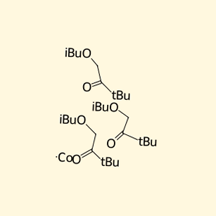 CC(C)COCC(=O)C(C)(C)C.CC(C)COCC(=O)C(C)(C)C.CC(C)COCC(=O)C(C)(C)C.[Co]